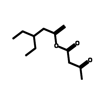 C=C(CC(CC)CC)OC(=O)CC(C)=O